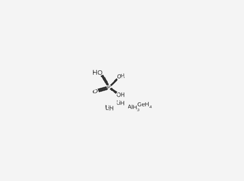 O=P(O)(O)O.[AlH3].[GeH4].[LiH].[LiH]